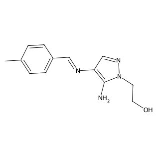 Cc1ccc(/C=N/c2cnn(CCO)c2N)cc1